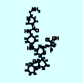 NCc1ccc(C(=O)Nc2ccc(Nc3cc(-c4cccc5c4oc4ccccc45)ncn3)cc2)cn1.O=C(O)C(F)(F)F